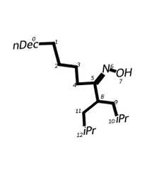 CCCCCCCCCCCCCCC(=NO)C(CC(C)C)CC(C)C